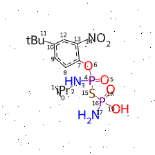 CC.CC(C)NP(=O)(Oc1ccc(C(C)(C)C)cc1[N+](=O)[O-])SP(N)(=O)O